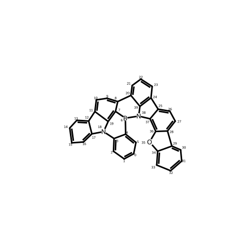 c1ccc2c(c1)B1c3c(ccc4c5ccccc5n-2c34)-c2cccc3c4ccc5c6ccccc6oc5c4n1c23